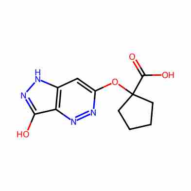 O=C(O)C1(Oc2cc3[nH]nc(O)c3nn2)CCCC1